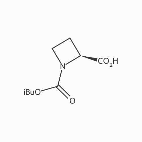 CC(C)COC(=O)N1CC[C@H]1C(=O)O